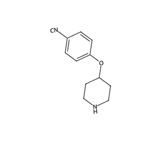 [C-]#[N+]c1ccc(OC2CCNCC2)cc1